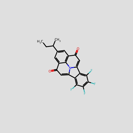 CCC(C)c1cc2c(=O)cc3c4c(F)c(F)c(F)c(F)c4c4cc(=O)c(c1)c2n34